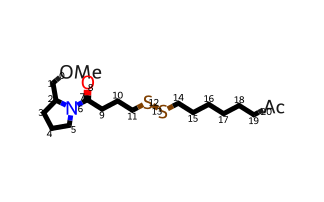 COCC1CCCN1C(=O)CCCSSCCCCCCC(C)=O